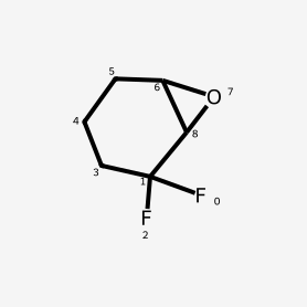 FC1(F)CCCC2OC21